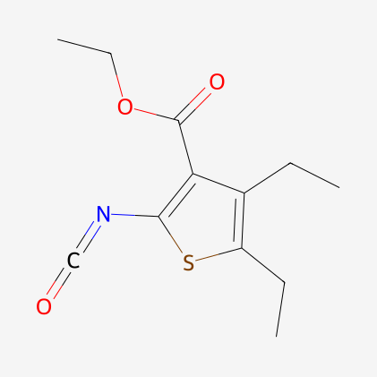 CCOC(=O)c1c(N=C=O)sc(CC)c1CC